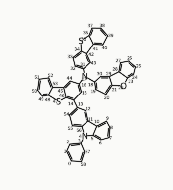 c1ccc(-n2c3ccccc3c3cc(-c4cc(N(c5ccc6oc7ccccc7c6c5)c5ccc6sc7ccccc7c6c5)cc5c4sc4ccccc45)ccc32)cc1